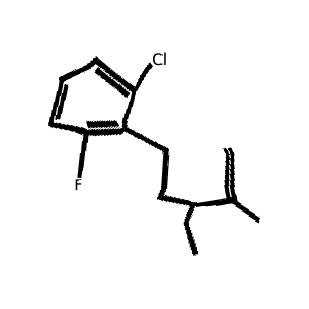 C=C(C)C(C)CCc1c(F)cccc1Cl